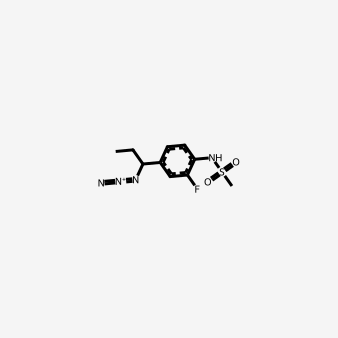 CCC(N=[N+]=[N-])c1ccc(NS(C)(=O)=O)c(F)c1